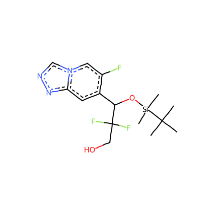 CC(C)(C)[Si](C)(C)OC(c1cc2nncn2cc1F)C(F)(F)CO